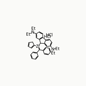 CCN(CC)c1ccc2c(c1)[CH]([Zr]([C]1=CC=CC1)=[C](c1ccccc1)c1ccccc1)c1cc(N(CC)CC)ccc1-2.Cl.Cl